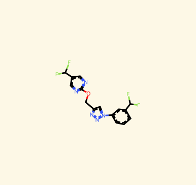 FC(F)c1cnc(OCc2cn(-c3cccc(C(F)F)c3)nn2)nc1